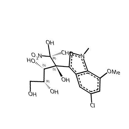 COc1cc(Cl)cc2c([C@](O)([C@@H](O)[C@H](O)CO)[C@@](O)(C=O)[N+](=O)[O-])cn(C)c12